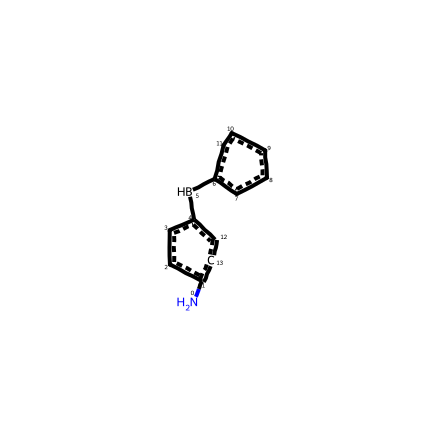 Nc1ccc(Bc2ccccc2)cc1